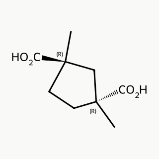 C[C@@]1(C(=O)O)CC[C@@](C)(C(=O)O)C1